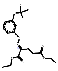 CCOC(=O)CC/C(=N\Nc1cccc(OC(F)(F)F)c1)C(=O)OCC